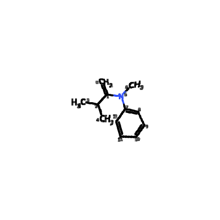 C=C(C(C)C)N(C)c1ccccc1